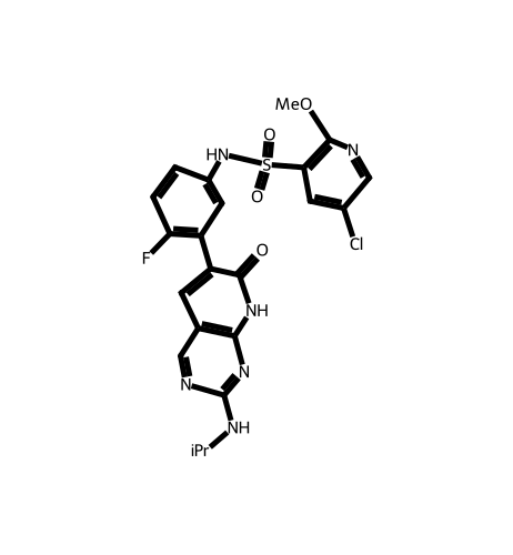 COc1ncc(Cl)cc1S(=O)(=O)Nc1ccc(F)c(-c2cc3cnc(NC(C)C)nc3[nH]c2=O)c1